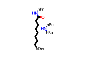 CCCCCCCCCCCCCCCCCC(=O)NCCC.CCCCNCCCC